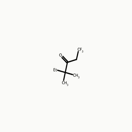 CCC(C)(C)C(=O)CC(F)(F)F